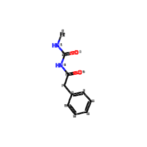 CCNC(=O)NC(=O)Cc1ccccc1